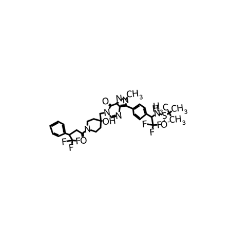 Cn1nc2c(=O)n(CC3(O)CCN(C(=O)CC(c4ccccc4)C(F)(F)F)CC3)cnc2c1-c1ccc(C(N[S@@+]([O-])C(C)(C)C)C(F)(F)F)cc1